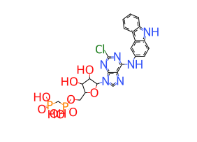 O=P(O)(O)CP(=O)(O)OCC1OC(n2cnc3c(Nc4ccc5[nH]c6ccccc6c5c4)nc(Cl)nc32)C(O)C1O